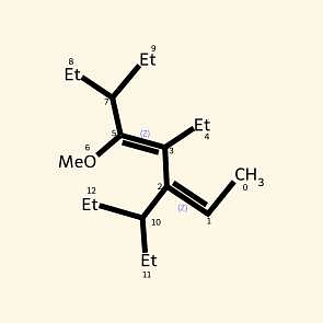 C/C=C(\C(CC)=C(/OC)C(CC)CC)C(CC)CC